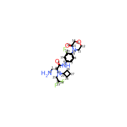 NC[C@H](C(=O)Nc1ccc(N2CCOCC2=O)c(F)c1)N(CC(F)F)C1CCC1